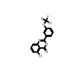 O=c1oc(-c2cccc(OC(F)(F)Cl)c2)nc2cccc(Cl)c12